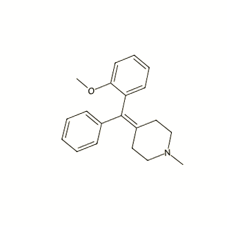 COc1ccccc1C(=C1CCN(C)CC1)c1ccccc1